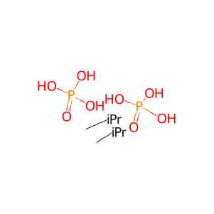 CC(C)C.CC(C)C.O=P(O)(O)O.O=P(O)(O)O